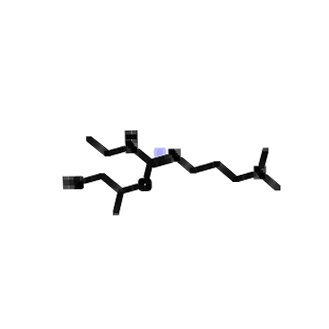 CCN/C(=N/CCCN(C)C)OC(C)CS